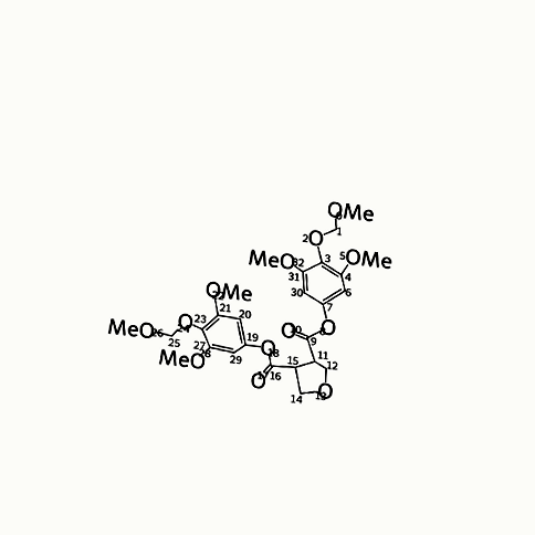 COCOc1c(OC)cc(OC(=O)C2COCC2C(=O)Oc2cc(OC)c(OCOC)c(OC)c2)cc1OC